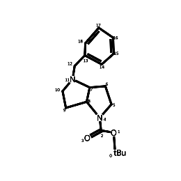 CC(C)(C)OC(=O)N1CCC2C1CCN2Cc1ccccc1